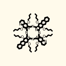 CCCCOc1c2c(c(OCCCC)c3cc4ccccc4cc13)-c1nc-2nc2[nH]c(nc3nc(nc4[nH]c(n1)c1c(OCCCC)c5ncccc5c(OCCCC)c41)-c1c-3c(OCCCC)c3cc4ccccc4cc3c1OCCCC)c1c(OCCCC)c3ncccc3c(OCCCC)c21